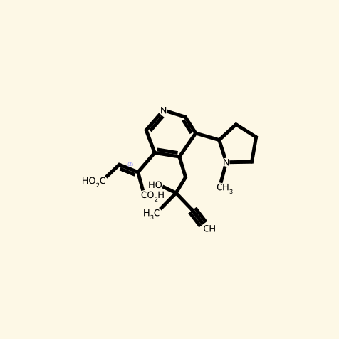 C#CC(C)(O)Cc1c(/C(=C/C(=O)O)C(=O)O)cncc1C1CCCN1C